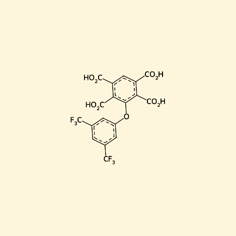 O=C(O)c1cc(C(=O)O)c(C(=O)O)c(Oc2cc(C(F)(F)F)cc(C(F)(F)F)c2)c1C(=O)O